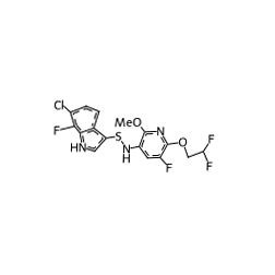 COc1nc(OCC(F)F)c(F)cc1NSc1c[nH]c2c(F)c(Cl)ccc12